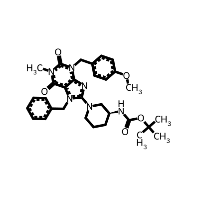 COc1ccc(Cn2c(=O)n(C)c(=O)c3c2nc(N2CCC[C@H](NC(=O)OC(C)(C)C)C2)n3Cc2ccccc2)cc1